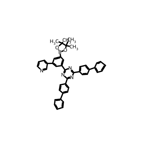 CC1(C)OB(c2cc(-c3cccnc3)cc(-c3nc(-c4ccc(-c5ccccc5)cc4)nc(-c4ccc(-c5ccccc5)cc4)n3)c2)OC1(C)C